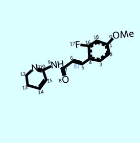 COc1ccc(/C=C/C(=O)NC2=NCCC=C2)c(F)c1